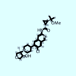 COC(C)(C)[C@@H]1C[C@H]1C(=O)Nc1cc2cc(C3CCN([C@]4(C)COC[C@@H]4O)CC3)c(Cl)cc2cn1